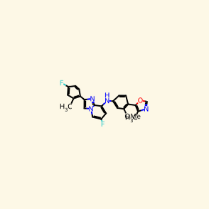 COc1cc(Nc2cc(F)cn3cc(-c4ccc(F)cc4C)nc23)ccc1-c1ocnc1C